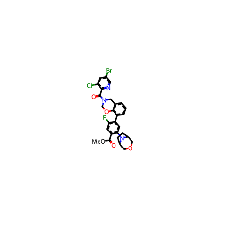 COC(=O)c1cc(F)c(-c2cccc3c2OCN(C(=O)c2ncc(Br)cc2Cl)C3)cc1N1C2CCC1COC2